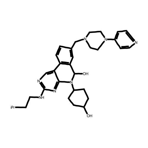 CC(C)CCNc1ncc2c(n1)N(C1CCC(O)CC1)C(O)c1cc(CN3CCN(c4ccncc4)CC3)ccc1-2